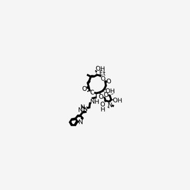 CC[C@H]1OC(=O)C[C@@H](O)[C@H](C)[C@@H](O[C@@H]2O[C@H](C)[C@@H](O)C(N(C)C)C2O)[C@@H](CCNCCn2cc(-c3cnc4ccccc4c3)nn2)C[C@@H](C)C(=O)/C=C/C(C)=C/[C@@H]1CO